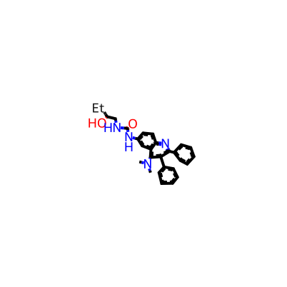 CCC(O)CNC(=O)Nc1ccc2nc(-c3ccccc3)c(-c3ccccc3)c(N(C)C)c2c1